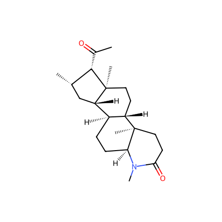 CC(=O)[C@H]1[C@@H](C)C[C@H]2[C@@H]3CC[C@@H]4N(C)C(=O)CC[C@]4(C)[C@H]3CC[C@@]21C